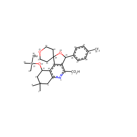 CC1(C)Cc2nc(C(=O)O)c3c(c2C(O[Si](C)(C)C(C)(C)C)C1)C1(CCOCC1)OC3c1ccc(C(F)(F)F)cc1